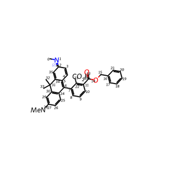 C/N=C1/C=CC2=C(c3cccc(C(=O)OCc4ccccc4)c3C(=O)O)c3ccc(NC)cc3C(C)(C)C2=C1